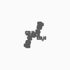 CS(=O)(=O)c1ccc(-c2cc(CCC(=O)O)c(-c3ccc(-c4sc(-c5ccc(S(C)(=O)=O)cc5)cc4CCC(=O)O)cc3)s2)cc1